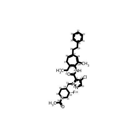 CCC1=C(NC(=O)c2c(Cl)cnn2C[C@@H]2CCN(C(C)=O)C[C@H]2F)C(C)=CC(CCc2ccccc2)=CC1